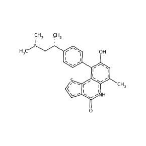 Cc1cc(O)c(-c2ccc([C@@H](C)CN(C)C)cc2)c2c1[nH]c(=O)c1ccsc12